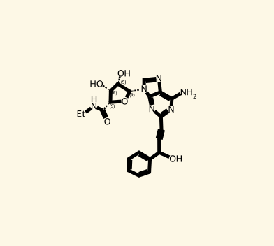 CCNC(=O)[C@H]1O[C@@H](n2cnc3c(N)nc(C#CC(O)c4ccccc4)nc32)[C@@H](O)[C@H]1O